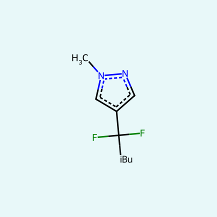 CCC(C)C(F)(F)c1cnn(C)c1